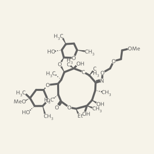 CC[C@H]1OC(=O)[C@H](C)C(O[C@H]2C[C@@](C)(OC)[C@@H](O)[C@H](C)O2)[C@H](C)[C@@H](O[C@@H]2O[C@H](C)C[C@H](C)[C@H]2O)[C@](C)(O)C[C@@H](C)/C(=N\OCOCCOC)[C@H](C)[C@@H](O)[C@]1(C)O